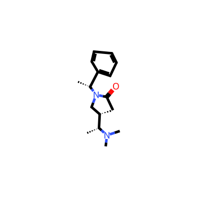 C[C@H]([C@H]1CC(=O)N([C@H](C)c2ccccc2)C1)N(C)C